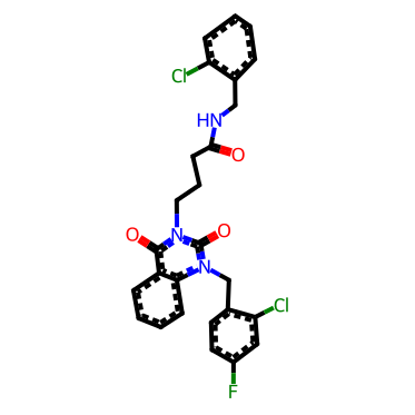 O=C(CCCn1c(=O)c2ccccc2n(Cc2ccc(F)cc2Cl)c1=O)NCc1ccccc1Cl